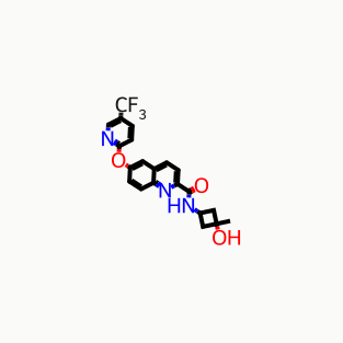 CC1(O)CC(NC(=O)c2ccc3cc(Oc4ccc(C(F)(F)F)cn4)ccc3n2)C1